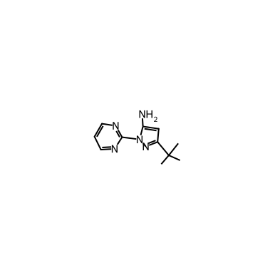 CC(C)(C)c1cc(N)n(-c2ncccn2)n1